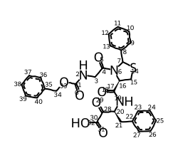 O=C(NCC(=O)N1C(c2ccccc2)SC[C@H]1C(=O)N[C@@H](Cc1ccccc1)C(=O)C(=O)O)OCc1ccccc1